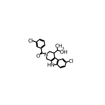 CC(O)C1CN(C(=O)c2cccc(Cl)c2)Cc2[nH]c3ccc(Cl)cc3c21